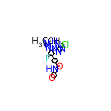 C[C@H]1CN(c2cc(F)c(-c3ccc(C(=O)NCC4CCOCC4)cc3)cc2Nc2ncnc(Cl)c2N)CCN1C